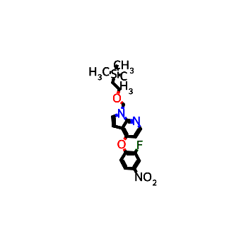 C[Si](C)(C)CCOCn1ccc2c(Oc3ccc([N+](=O)[O-])cc3F)ccnc21